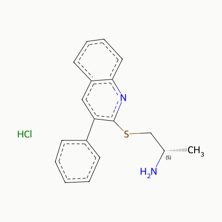 C[C@H](N)CSc1nc2ccccc2cc1-c1ccccc1.Cl